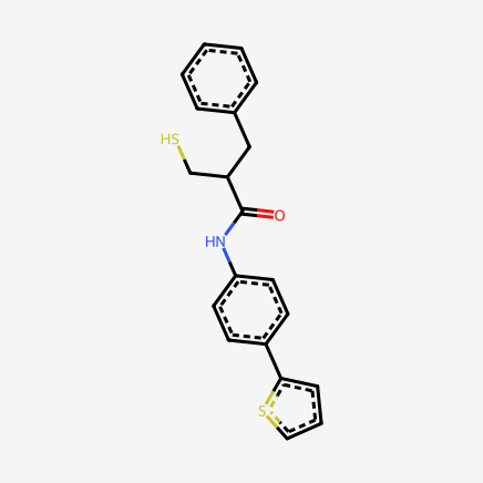 O=C(Nc1ccc(-c2cccs2)cc1)C(CS)Cc1ccccc1